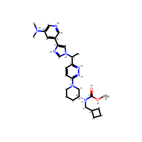 CC(c1ccc(N2CCC[C@@H](N(CC3CCC3)C(=O)OC(C)(C)C)C2)nn1)n1cnc(-c2cncc(N(C)C)c2)c1